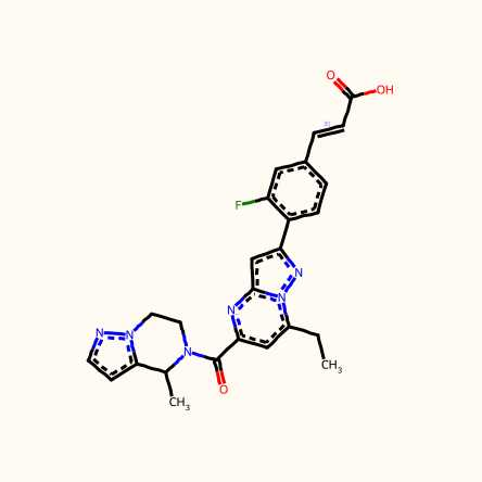 CCc1cc(C(=O)N2CCn3nccc3C2C)nc2cc(-c3ccc(/C=C/C(=O)O)cc3F)nn12